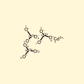 [Gd+3].[O-][I+2]([O-])[O-].[O-][I+2]([O-])[O-].[O-][I+2]([O-])[O-]